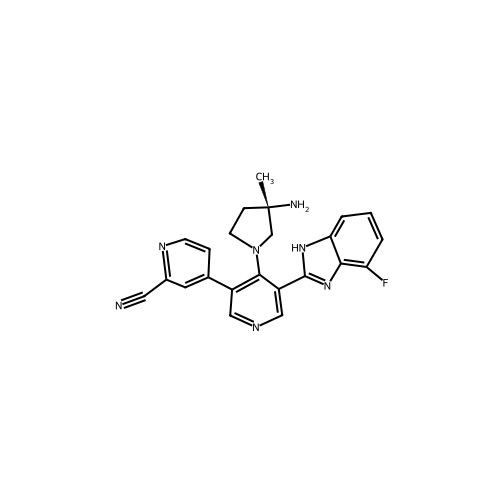 C[C@]1(N)CCN(c2c(-c3ccnc(C#N)c3)cncc2-c2nc3c(F)cccc3[nH]2)C1